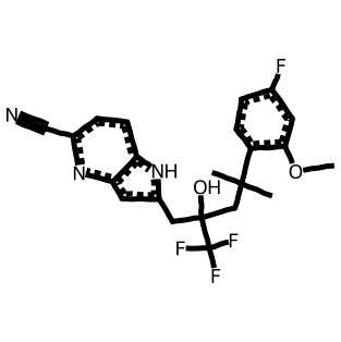 COc1cc(F)ccc1C(C)(C)CC(O)(Cc1cc2nc(C#N)ccc2[nH]1)C(F)(F)F